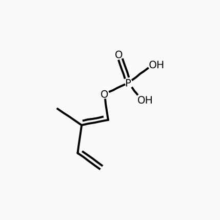 C=CC(C)=COP(=O)(O)O